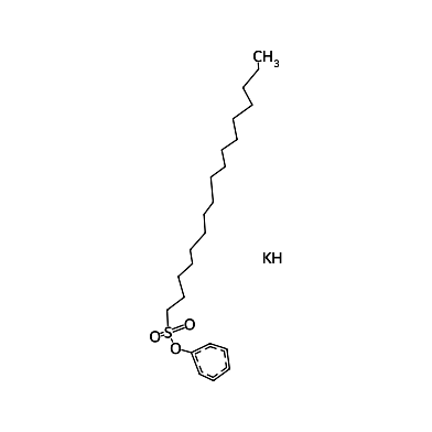 CCCCCCCCCCCCCCCCCS(=O)(=O)Oc1ccccc1.[KH]